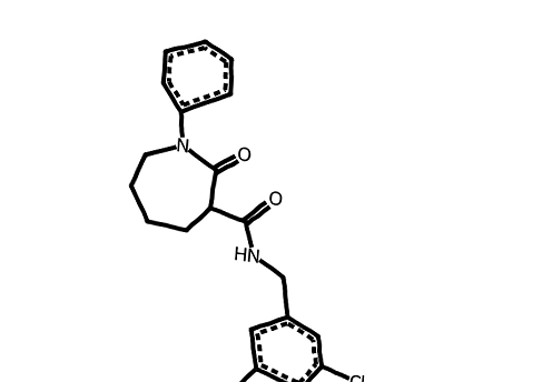 O=C(NCc1cc(F)cc(Cl)c1)C1CCCCN(c2ccccc2)C1=O